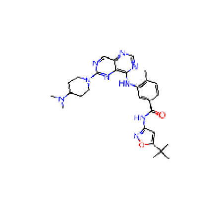 Cc1ccc(C(=O)Nc2cc(C(C)(C)C)on2)cc1Nc1ncnc2cnc(N3CCC(N(C)C)CC3)nc12